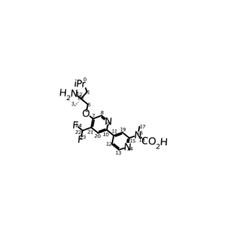 CC(C)C[C@](C)(N)COc1cnc(-c2ccnc(N(C)C(=O)O)c2)cc1C(F)F